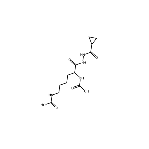 O=C(O)NCCCCC(NC(=O)O)C(=O)NNC(=O)C1CC1